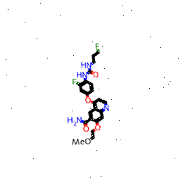 COCCOc1cc2nccc(Oc3ccc(NC(=O)NCCCF)c(F)c3)c2cc1C(N)=O